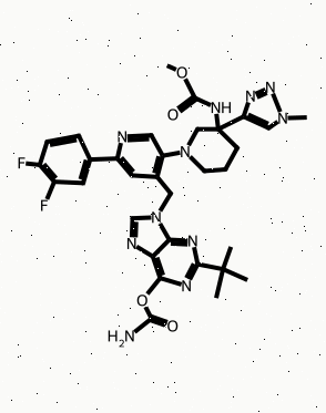 COC(=O)NC1(c2cn(C)nn2)CCCN(c2cnc(-c3ccc(F)c(F)c3)cc2Cn2cnc3c(OC(N)=O)nc(C(C)(C)C)nc32)C1